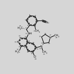 Cc1c(C#N)cccc1[C@@H](C)Nc1nnc(C)c2cc(Cl)c(N(C)[C@@H]3CCN(C)C3)cc12